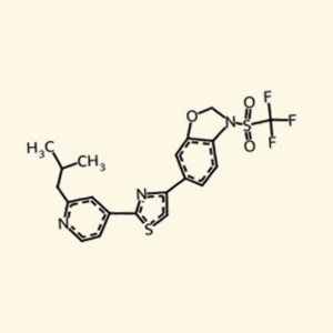 CC(C)Cc1cc(-c2nc(-c3ccc4c(c3)OCN4S(=O)(=O)C(F)(F)F)cs2)ccn1